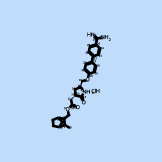 CC1C2CCC(C2)C1COC(=O)C[C@@H]1C[C@@H](COc2ccc(-c3ccc(C(=N)N)cc3)cc2)NC1=O.Cl